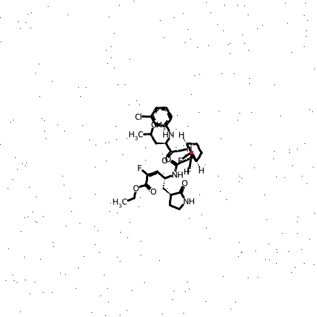 CCOC(=O)/C(F)=C\[C@@H](C[C@@H]1CCNC1=O)NC(=O)[C@@H]1[C@@H]2CC[C@@H](CC2(F)F)N1C(=O)[C@@H](CC(C)C)Nc1cccc(Cl)c1